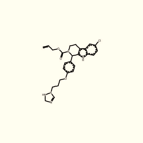 C=CCOC(=O)N1CCc2c([nH]c3ccc(Cl)cc23)C1c1ccc(OCCCN2C=NCN2)cc1